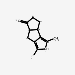 CCc1[nH]c(C)c2c1CC1C(=O)CCC21